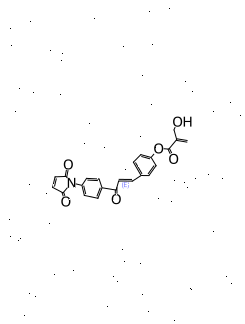 C=C(CO)C(=O)Oc1ccc(/C=C/C(=O)c2ccc(N3C(=O)C=CC3=O)cc2)cc1